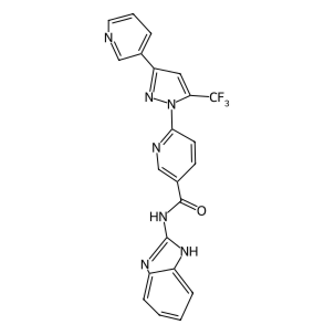 O=C(Nc1nc2ccccc2[nH]1)c1ccc(-n2nc(-c3cccnc3)cc2C(F)(F)F)nc1